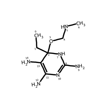 CCC1(OCNC)NC(N)=NC(N)=C1N